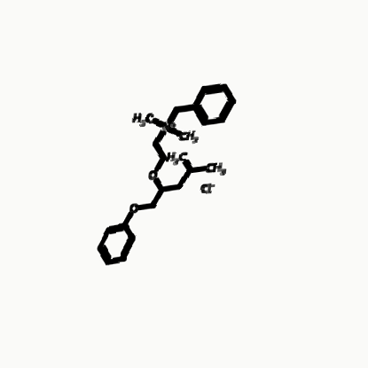 CC(C)CC(COc1ccccc1)OCC[N+](C)(C)Cc1ccccc1.[Cl-]